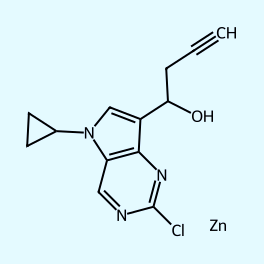 C#CCC(O)c1cn(C2CC2)c2cnc(Cl)nc12.[Zn]